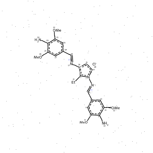 CCc1n(/N=C/c2cc(OC)c(N)c(OC)c2)cc[n+]1/N=C/c1cc(OC)c(N)c(OC)c1.[Cl-]